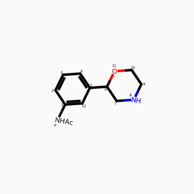 CC(=O)Nc1cccc(C2CNCCO2)c1